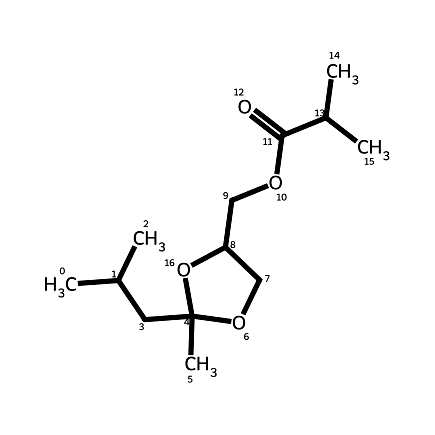 CC(C)CC1(C)OCC(COC(=O)C(C)C)O1